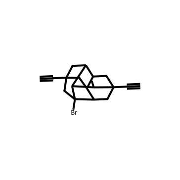 C#CC12CC3C4CC5(C#C)CC3C(Br)(C1)C(C4C2)C5C